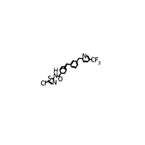 O=C(Nc1ncc(Cl)s1)C1CC2CCC1CC2=Cc1cccc(Cc2ccc(C(F)(F)F)cn2)c1